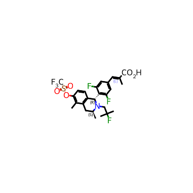 C/C(=C\c1cc(F)c([C@H]2c3ccc(OS(=O)(=O)C(F)(F)F)c(C)c3C[C@H](C)N2CC(C)(C)F)c(F)c1)C(=O)O